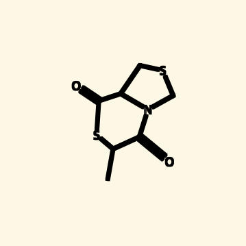 CC1SC(=O)C2CSCN2C1=O